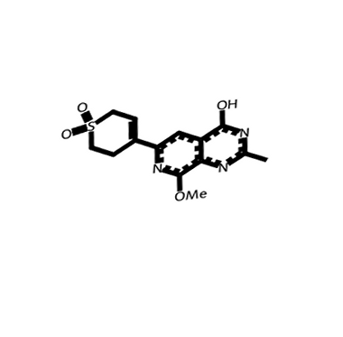 COc1nc(C2=CCS(=O)(=O)CC2)cc2c(O)nc(C)nc12